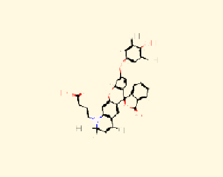 CC1=CC(C)(C)N(CCCC(=O)O)c2cc3c(cc21)C1(OC(=O)c2ccccc21)c1ccc(Oc2cc(C)c(O)c(C)c2)cc1O3